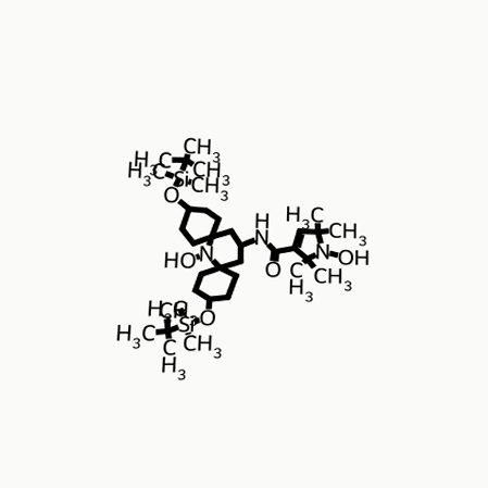 CC1(C)C=C(C(=O)NC2CC3(CCC(O[Si](C)(C)C(C)(C)C)CC3)N(O)C3(CCC(O[Si](C)(C)C(C)(C)C)CC3)C2)C(C)(C)N1O